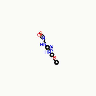 O=S1(=O)CCN(CCCNc2ccc3c(Nc4ccc(OCc5ccccc5)cc4)ncnc3c2)CC1